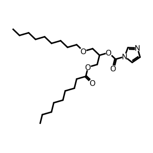 CCCCCCCCCOCC(COC(=O)CCCCCCCC)OC(=O)n1ccnc1